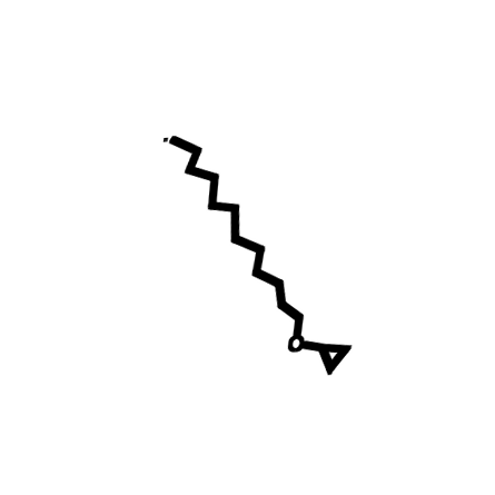 [CH2]CCCCCCCCCCCOC1[CH]C1